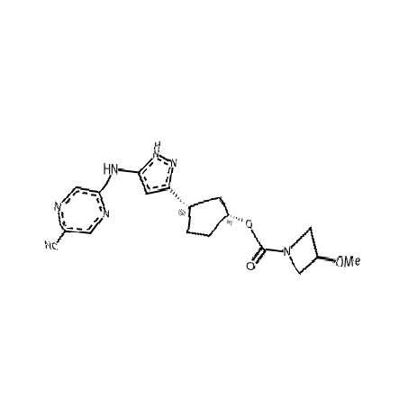 COC1CN(C(=O)O[C@@H]2CC[C@H](c3cc(Nc4cnc(C#N)cn4)[nH]n3)C2)C1